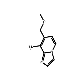 COCc1ccn2ccnc2c1N